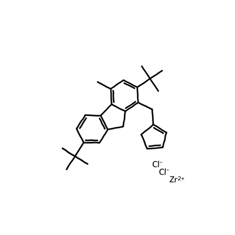 Cc1cc(C(C)(C)C)c(CC2=CC=CC2)c2c1-c1ccc(C(C)(C)C)cc1C2.[Cl-].[Cl-].[Zr+2]